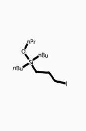 CCCC[Si](CCCC)(CCCI)OCCC